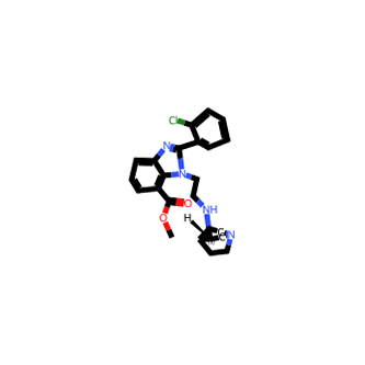 COC(=O)c1cccc2nc(-c3ccccc3Cl)n(CCN[C@@H]3CN4CCC3CC4)c12